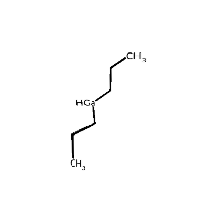 CC[CH2][GaH][CH2]CC